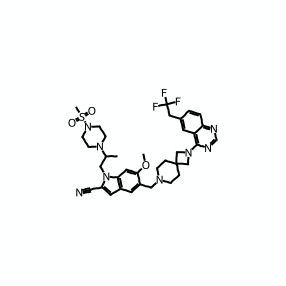 COc1cc2c(cc1CN1CCC3(CC1)CN(c1ncnc4ccc(CC(F)(F)F)cc14)C3)cc(C#N)n2CC(C)N1CCN(S(C)(=O)=O)CC1